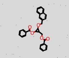 O=C(OCC1C(OCc2ccc3ccccc3c2)C1OC(=O)c1ccccc1)c1ccccc1